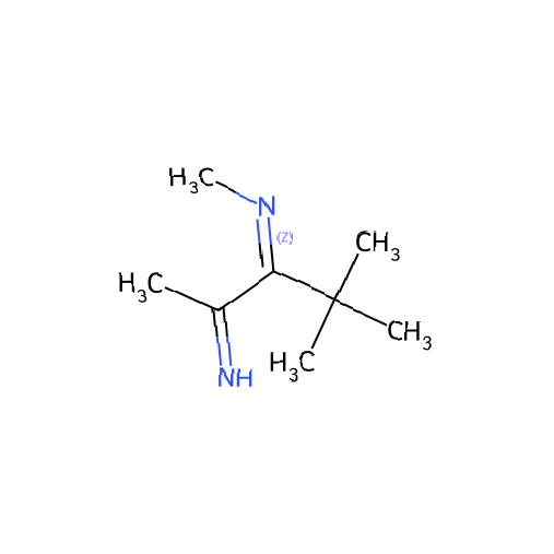 C/N=C(\C(C)=N)C(C)(C)C